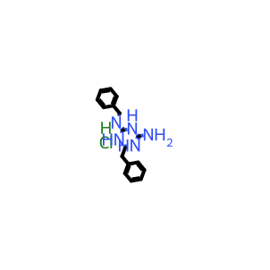 Cl.N=C(N)NC(=NCc1ccccc1)NCCc1ccccc1